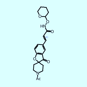 CC(=O)N1CCC2(CC1)Oc1ccc(/C=C/C(=O)NOC3CCCCO3)cc1C2=O